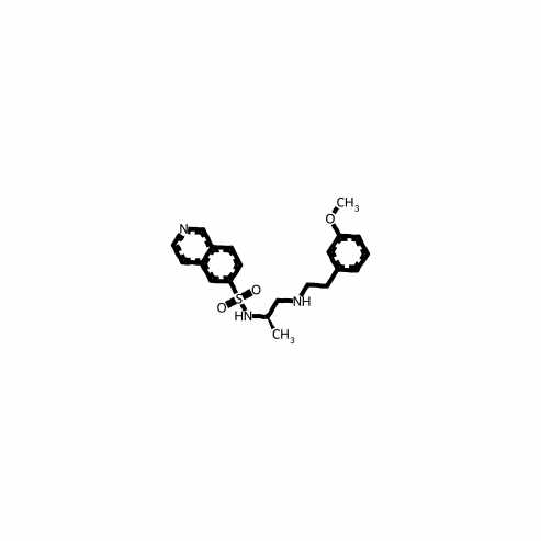 COc1cccc(CCNC[C@@H](C)NS(=O)(=O)c2ccc3cnccc3c2)c1